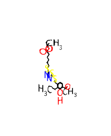 CCCc1c(CSc2nnc(SCCCCCC(=O)OCC)s2)ccc(C(C)=O)c1O